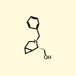 OC[C@@H]1C2CC2CN1Cc1ccccc1